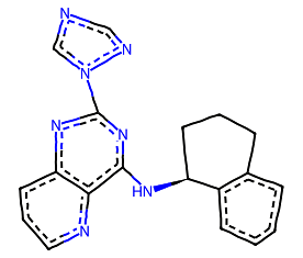 c1ccc2c(c1)CCC[C@@H]2Nc1nc(-n2cncn2)nc2cccnc12